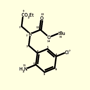 CCOC(=O)CN(Cc1cc(Cl)ccc1N)C(=O)OC(C)(C)C